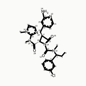 CCC(c1cccc(Cl)c1)N(C)C(=O)N1C(=O)[C@H](Cc2ccnc(N)c2)[C@H]1C(=O)N(C)c1nccn1C